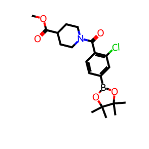 COC(=O)C1CCN(C(=O)c2ccc(B3OC(C)(C)C(C)(C)O3)cc2Cl)CC1